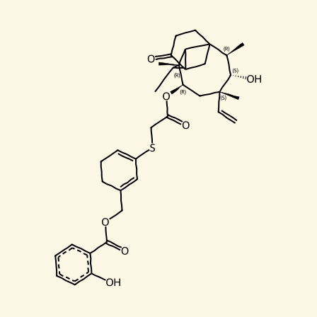 C=C[C@]1(C)C[C@@H](OC(=O)CSC2=CCCC(COC(=O)c3ccccc3O)=C2)[C@]2(C)C(C)CC34CC(CCC3=O)(C42)[C@@H](C)[C@@H]1O